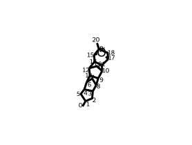 CC1CC2C(C1)C1CC2C2C3CC(C12)C1C2OC(CC2C)C31